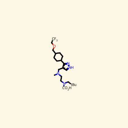 CN(CCN(CC(C)(C)C)C(=O)O)Cc1c[nH]nc1C1CCC(COCC(F)(F)F)CC1